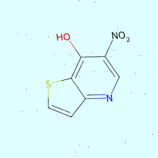 O=[N+]([O-])c1cnc2ccsc2c1O